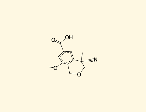 COc1cc(C(=O)O)cc2c1COCC2(C)C#N